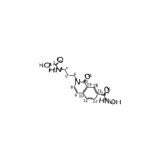 O=C(O)NCCCn1ccc2ccc(C(=O)NO)cc2c1=O